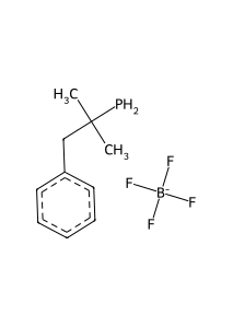 CC(C)(P)Cc1ccccc1.F[B-](F)(F)F